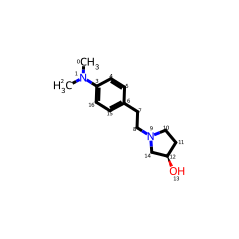 CN(C)c1ccc(CCN2CC[C@@H](O)C2)cc1